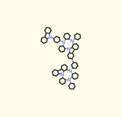 c1ccc(N2c3ccccc3N(c3cccc(-c4ccc5c(c4)c4cccc6c4n5-c4ccccc4N(c4ccc(-n5c7ccccc7c7ccccc75)cc4)c4ccccc4N6c4ccccc4)c3)c3cccc4c5ccccc5n(c34)-c3ccccc32)cc1